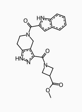 COC(=O)C1CN(C(=O)c2n[nH]c3c2CN(C(=O)c2cc4ccccc4[nH]2)CC3)C1